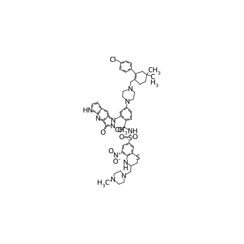 CN1CCN(CC2CSc3cc(S(=O)(=O)NC(=O)c4ccc(N5CCN(CC6=C(c7ccc(Cl)cc7)CC(C)(C)CC6)CC5)cc4-n4c5cc6cc[nH]c6nc5c(=O)n4C)cc([N+](=O)[O-])c3N2)CC1